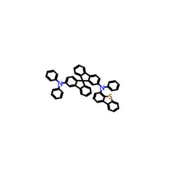 c1ccc(N(c2ccccc2)c2ccc3c(c2)-c2ccccc2C32c3ccccc3-c3ccc(N(c4ccccc4)c4cccc5c4sc4ccccc45)cc32)cc1